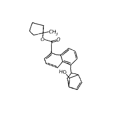 CC1(OC(=O)c2cccc3c(C4CC5C=CC4C5O)cccc23)CCCC1